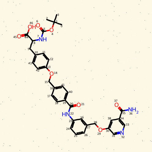 CC(C)(C)OC(=O)NC(Cc1ccc(OCc2ccc(C(=O)Nc3cccc(COc4cncc(C(N)=O)c4)c3)cc2)cc1)C(=O)O